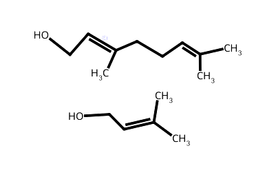 CC(C)=CCC/C(C)=C/CO.CC(C)=CCO